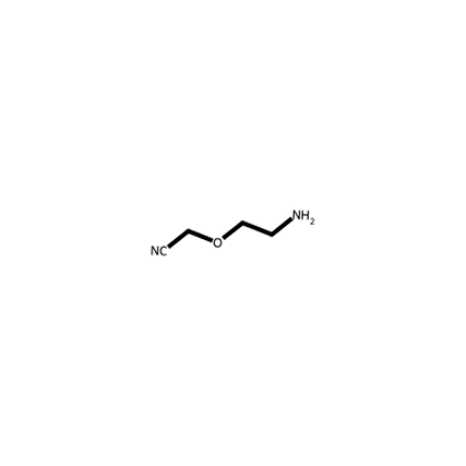 N#CCOCCN